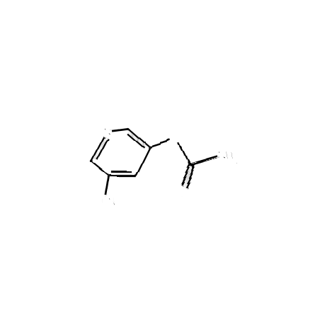 N#Cc1cncc(OC(N)=O)c1